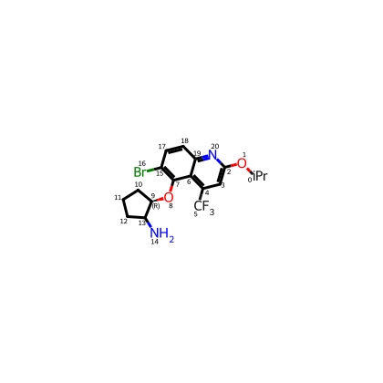 CC(C)Oc1cc(C(F)(F)F)c2c(O[C@@H]3CCCC3N)c(Br)ccc2n1